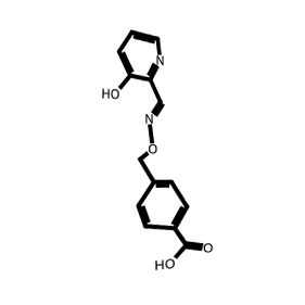 O=C(O)c1ccc(CON=Cc2ncccc2O)cc1